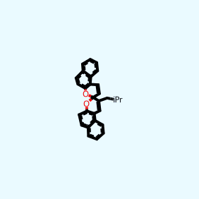 CC(C)CC1=Cc2c(ccc3ccccc23)OC12C=Cc1c(ccc3ccccc13)O2